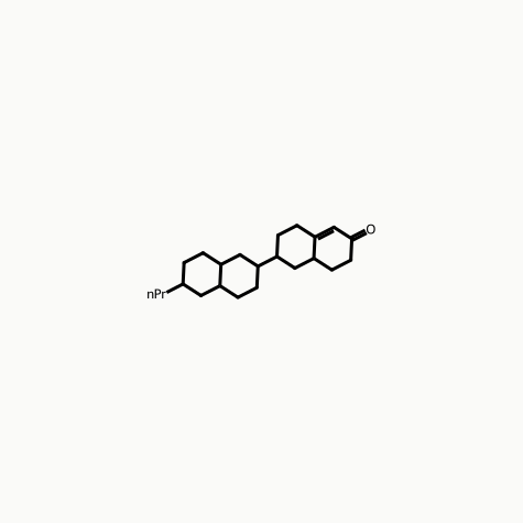 CCCC1CCC2CC(C3CCC4=CC(=O)CCC4C3)CCC2C1